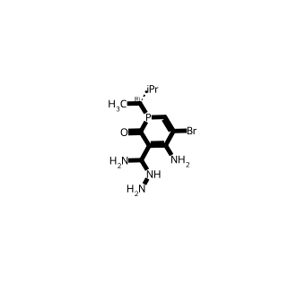 CC(C)[C@@H](C)p1cc(Br)c(N)c(C(N)NN)c1=O